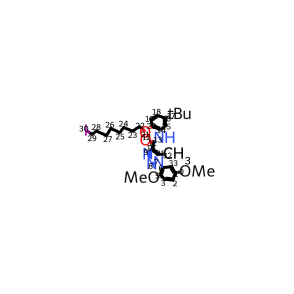 COc1ccc(OC)c(-n2nnc(C(=O)Nc3cc(C(C)(C)C)ccc3OCCCCCCCCI)c2C)c1